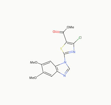 COC(=O)c1sc(-n2cnc3cc(OC)c(OC)cc32)nc1Cl